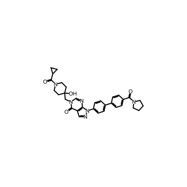 O=C(c1ccc(-c2ccc(-n3ncc4c(=O)n(CC5(O)CCN(C(=O)C6CC6)CC5)cnc43)cc2)cc1)N1CCCC1